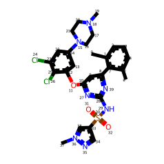 Cc1cccc(C)c1-c1cc(Oc2cc(N3CCN(C)CC3)cc(Cl)c2Cl)nc(NS(=O)(=O)c2cnn(C)c2)n1